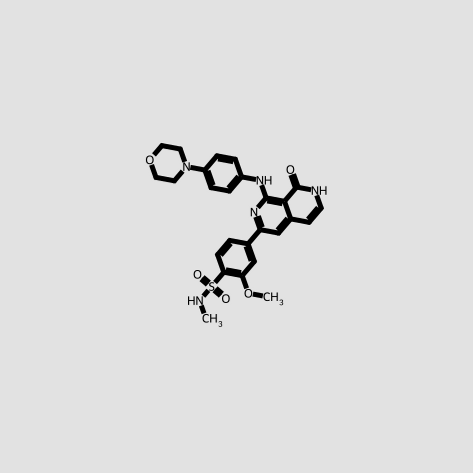 CNS(=O)(=O)c1ccc(-c2cc3cc[nH]c(=O)c3c(Nc3ccc(N4CCOCC4)cc3)n2)cc1OC